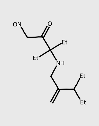 C=C(CNC(CC)(CC)C(=O)CN=O)C(CC)CC